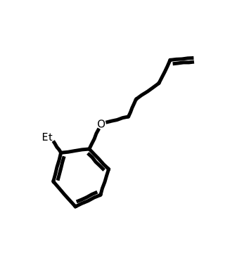 C=CCCCOc1ccccc1CC